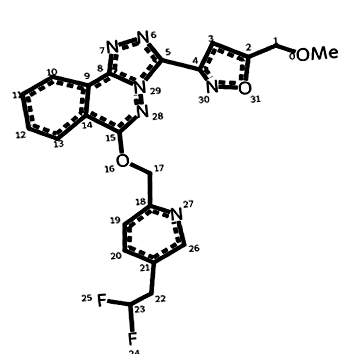 COCc1cc(-c2nnc3c4ccccc4c(OCc4ccc(CC(F)F)cn4)nn23)no1